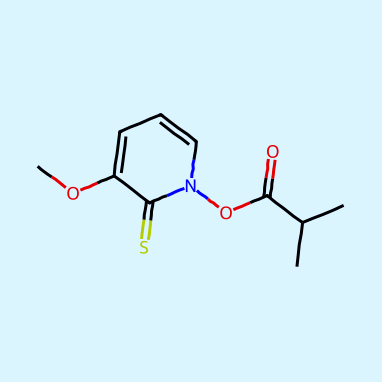 COc1cccn(OC(=O)C(C)C)c1=S